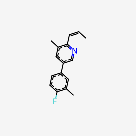 C/C=C\c1ncc(-c2ccc(F)c(C)c2)cc1C